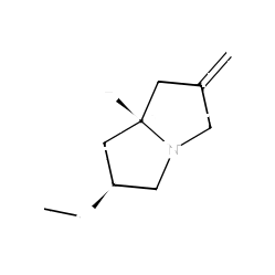 C=C1C[C@H]2C[C@H](OC)CN2C1